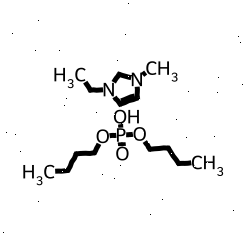 CCCCOP(=O)(O)OCCCC.CCN1C=CN(C)C1